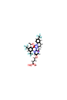 CCOC(=O)N1c2ccc(C(F)(F)F)cc2CC[C@]1(CC)N(Cc1cc(C(F)(F)F)cc(C(F)(F)F)c1)c1ncc(OCCCC(=O)O)cn1